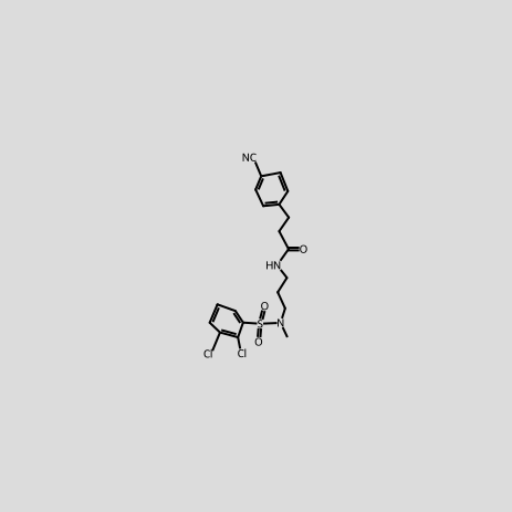 CN(CCCNC(=O)CCc1ccc(C#N)cc1)S(=O)(=O)c1cccc(Cl)c1Cl